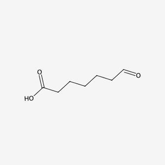 O=CCCCCCC(=O)O